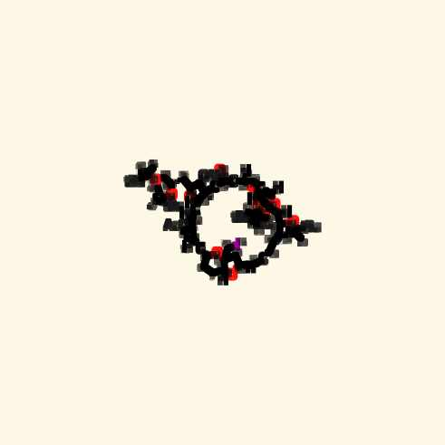 C=C1[C@H](C)CC2CC[C@@H]3O[C@@H](CCC/C=C/C(O[Si](C)(C)C(C)(C)C)[C@@H]4O[C@H]5CC[C@H](CC(=O)CC6[C@@H](OC)C(C[C@@H](CO[Si](C)(C)C(C)(C)C)O[Si](C)(C)C(C)(C)C)O[C@H]6C[C@H]1OC(C)=O)O[C@@H]5C(O[Si](C)(C)C(C)(C)C)C4O[Si](C)(C)C(C)(C)C)CC3(CI)O2